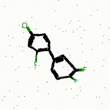 Fc1ccc(-c2ccc(Cl)cc2F)cc1F